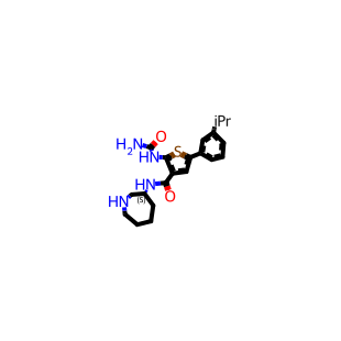 CC(C)c1cccc(-c2cc(C(=O)N[C@H]3CCCCNC3)c(NC(N)=O)s2)c1